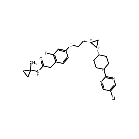 CC1(NC(=O)Cc2ccc(OCC[C@@H]3C[C@@H]3C3CCN(c4ncc(Cl)cn4)CC3)cc2F)CC1